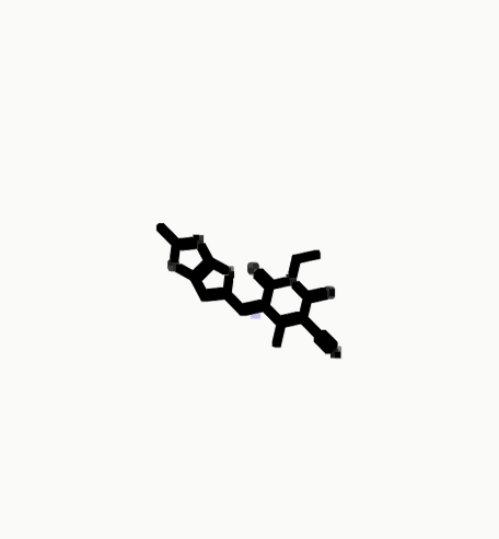 CCN1C(=O)C(C#N)=C(C)/C(=C/c2cc3oc(C)nc3s2)C1=O